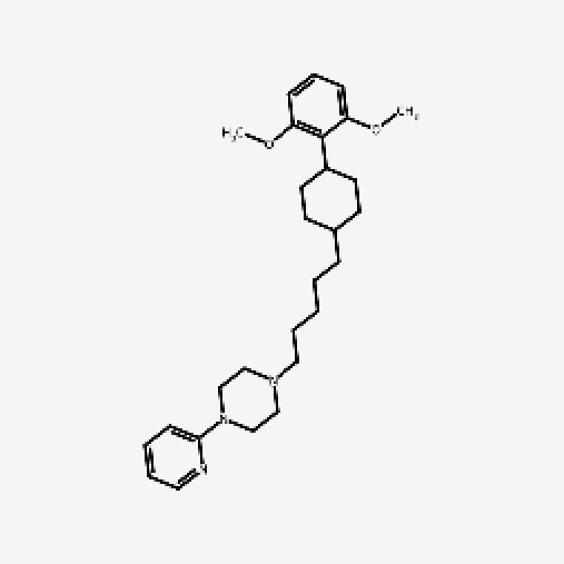 COc1cccc(OC)c1C1CCC(CCCCCN2CCN(c3ccccn3)CC2)CC1